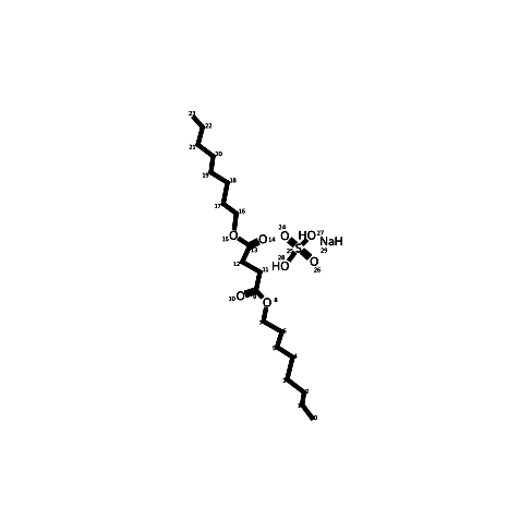 CCCCCCCCOC(=O)CCC(=O)OCCCCCCCC.O=S(=O)(O)O.[NaH]